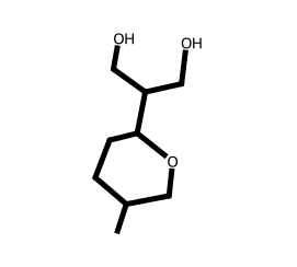 CC1CCC(C(CO)CO)OC1